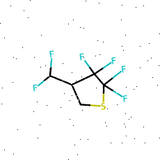 FC(F)C1CSC(F)(F)C1(F)F